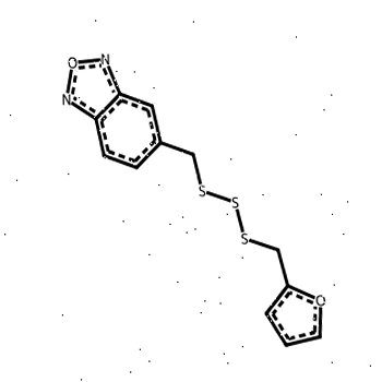 c1coc(CSSSCc2ccc3nonc3c2)c1